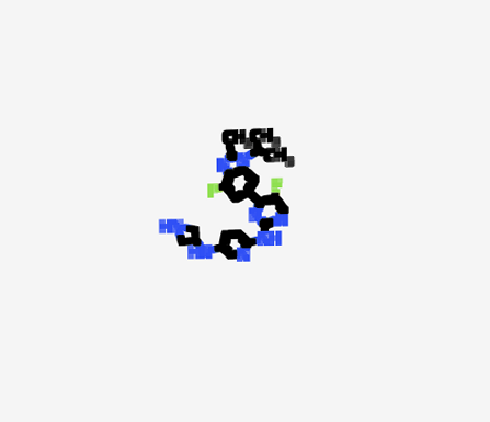 Cc1nc2c(F)cc(-c3nc(Nc4ccc(NC5CNC5)cn4)ncc3F)cc2n1C(C)C